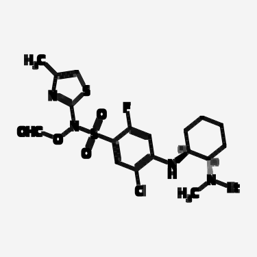 CCN(C)[C@H]1CCCC[C@@H]1Nc1cc(F)c(S(=O)(=O)N(OC=O)c2nc(C)cs2)cc1Cl